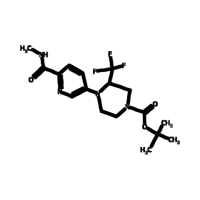 CNC(=O)c1ccc(N2CCN(C(=O)OC(C)(C)C)CC2C(F)(F)F)cn1